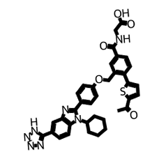 CC(=O)c1ccc(-c2ccc(C(=O)NCC(=O)O)cc2COc2ccc(-c3nc4cc(-c5nnn[nH]5)ccc4n3C3CCCCC3)cc2)s1